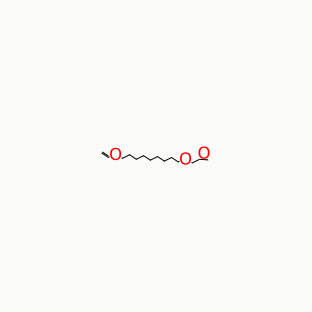 C=COCCCCCCCCCOCC1CO1